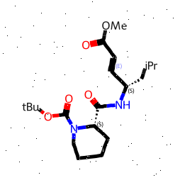 COC(=O)/C=C/[C@H](CC(C)C)NC(=O)[C@@H]1CCCCN1C(=O)OC(C)(C)C